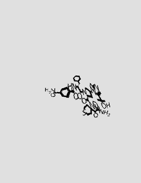 CC(C)(O)c1cnnn1[C@H]1C[C@@H](C(=O)NC2(C(=O)C(N)=O)CCSCC2)N(C(=O)[C@@H](CC2CCCCC2)NC(=O)c2ccc(C(N)=O)cc2)C1